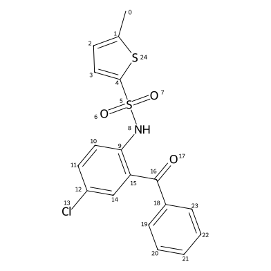 Cc1ccc(S(=O)(=O)Nc2ccc(Cl)cc2C(=O)c2ccccc2)s1